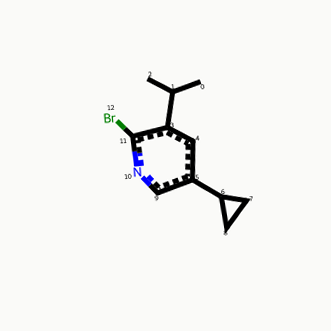 CC(C)c1cc(C2CC2)cnc1Br